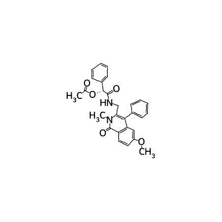 COc1ccc2c(=O)n(C)c(CNC(=O)[C@H](OC(C)=O)c3ccccc3)c(-c3ccccc3)c2c1